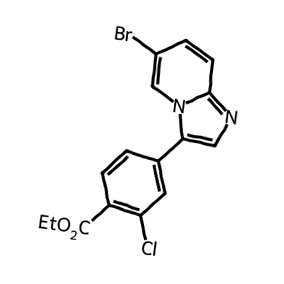 CCOC(=O)c1ccc(-c2cnc3ccc(Br)cn23)cc1Cl